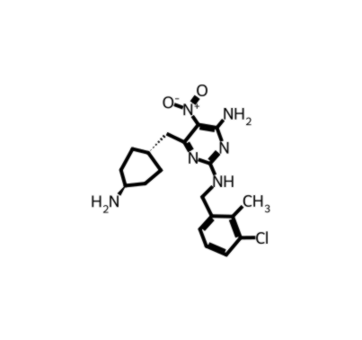 Cc1c(Cl)cccc1CNc1nc(N)c([N+](=O)[O-])c(C[C@H]2CC[C@H](N)CC2)n1